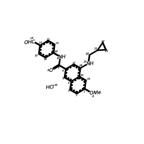 COc1ccc2cc(C(=O)Nc3ccc(C=O)cc3)cc(NCC3CC3)c2c1.Cl